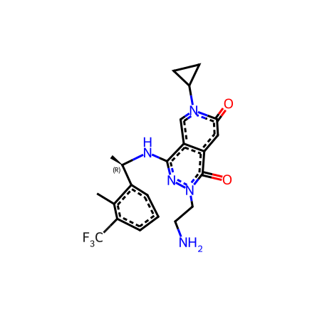 Cc1c([C@@H](C)Nc2nn(CCN)c(=O)c3cc(=O)n(C4CC4)cc23)cccc1C(F)(F)F